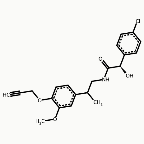 C#CCOc1ccc(C(C)CNC(=O)[C@H](O)c2ccc(Cl)cc2)cc1OC